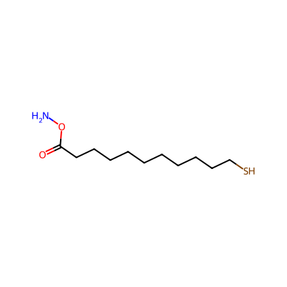 NOC(=O)CCCCCCCCCCS